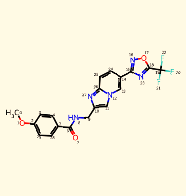 COc1ccc(C(=O)NCc2cn3cc(-c4noc(C(F)(F)F)n4)ccc3n2)cc1